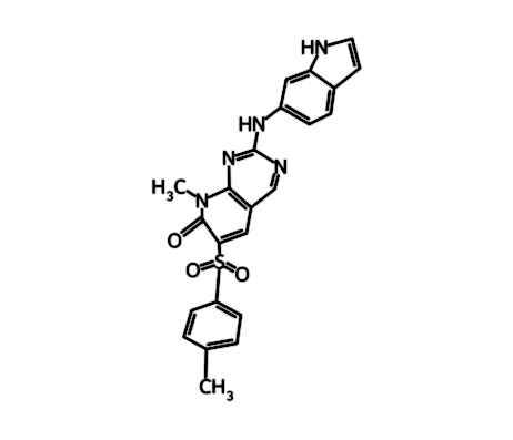 Cc1ccc(S(=O)(=O)c2cc3cnc(Nc4ccc5cc[nH]c5c4)nc3n(C)c2=O)cc1